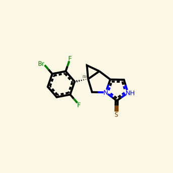 Fc1ccc(Br)c(F)c1[C@]12CC1c1c[nH]c(=S)n1C2